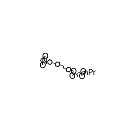 C=C(CC(=O)OCCC)C(=O)Oc1ccc(/C=C/c2ccc(-c3ccc(N4C(=O)C=CC4=O)cc3)cc2)cc1